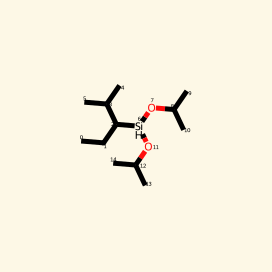 CCC(C(C)C)[SiH](OC(C)C)OC(C)C